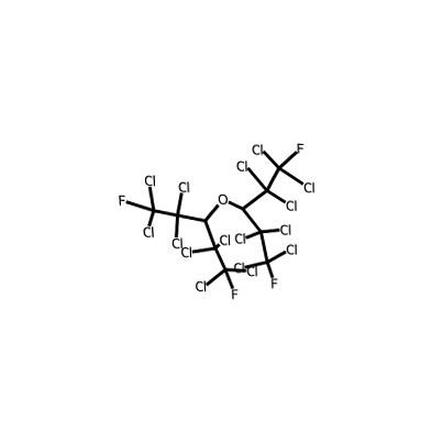 FC(Cl)(Cl)C(Cl)(Cl)C(OC(C(Cl)(Cl)C(F)(Cl)Cl)C(Cl)(Cl)C(F)(Cl)Cl)C(Cl)(Cl)C(F)(Cl)Cl